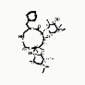 CO[C@]1(C)C[C@H](O[C@H]2[C@H](C)[C@@H](O[C@@H]3O[C@H](C)C[C@H](N(C)C)[C@H]3O)[C@](C)(O)C[C@@H](C)CNCC(Cc3ccccc3)NC(=O)[C@@H]2C)O[C@@H](C)[C@@H]1O